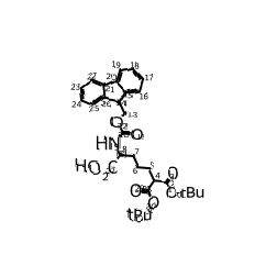 CC(C)(C)OC(=O)C(CCC[C@H](NC(=O)OCC1c2ccccc2-c2ccccc21)C(=O)O)C(=O)OC(C)(C)C